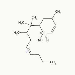 CCC/C=C\C1N[C@@H]2C=CC(C)CC2C(C)(C)C1C